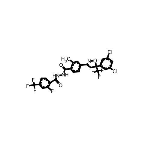 Cc1cc(C2=NOC(c3cc(Cl)cc(Cl)c3)(C(F)(F)F)C2)ccc1C(=O)NNC(=O)c1ccc(C(F)(F)F)cc1F